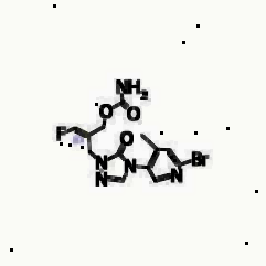 Cc1cc(Br)ncc1-n1cnn(C/C(=C\F)COC(N)=O)c1=O